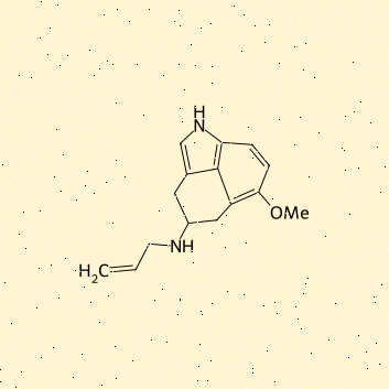 C=CCNC1Cc2c[nH]c3ccc(OC)c(c23)C1